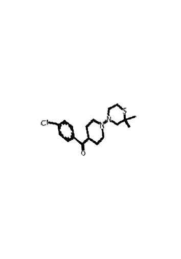 CC1(C)CN(N2CCC(C(=O)c3ccc(Cl)cc3)CC2)CCS1